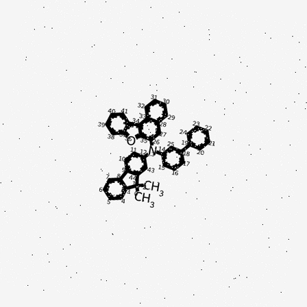 CC1(C)c2ccccc2-c2ccc(N(c3cccc(-c4ccccc4)c3)c3cc4ccccc4c4c3oc3ccccc34)cc21